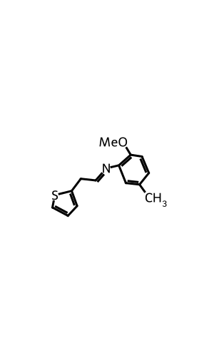 COc1ccc(C)cc1N=CCc1cccs1